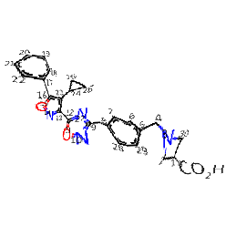 O=C(O)C1CN(Cc2ccc(-c3noc(-c4noc(-c5ccccc5)c4C4CC4)n3)cc2)C1